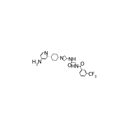 Nc1ccnc([C@H]2CC[C@@H](N3CC(NC(=O)CNC(=O)c4cccc(C(F)(F)F)c4)C3)CC2)c1